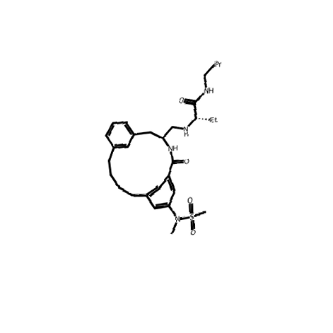 CC[C@H](NCC1Cc2cccc(c2)CCCCc2cc(cc(N(C)S(C)(=O)=O)c2)C(=O)N1)C(=O)NCC(C)C